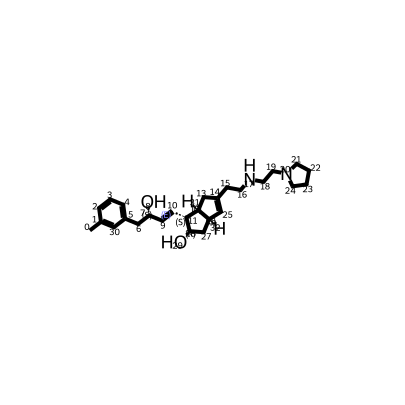 Cc1cccc(C[C@H](O)/C=C/[C@@H]2[C@H]3CC(CCNCCN4CCCC4)=C[C@H]3C[C@H]2O)c1